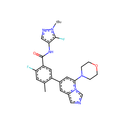 Cc1cc(F)c(C(=O)Nc2cnn(C(C)(C)C)c2F)cc1-c1cc(N2CCOCC2)n2cncc2c1